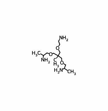 CC(N)COCC(C)(COCCN)COCC(C)N